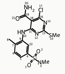 CNS(=O)(=O)c1ccc(C)c(Nc2nc(SC)nc(Cl)c2C(N)=O)c1